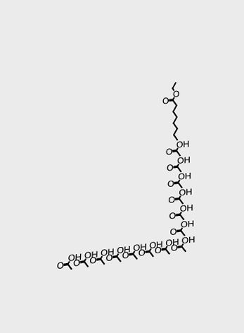 CC(=O)O.CC(=O)O.CC(=O)O.CC(=O)O.CC(=O)O.CC(=O)O.CC(=O)O.CC(=O)O.CC(=O)O.CC(=O)O.CC(=O)O.CC(=O)O.CC(=O)O.CC(=O)O.CCCCCCCC(=O)OCC